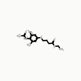 CCOC(=O)CCCOc1cc(C)c(NC(C)=O)c(N)c1